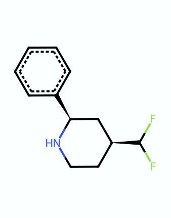 FC(F)[C@H]1CCN[C@@H](c2ccccc2)C1